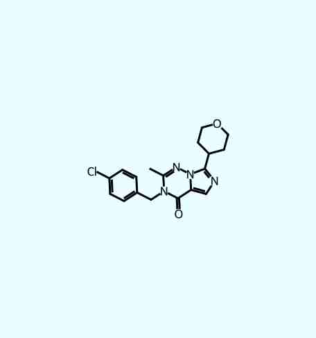 Cc1nn2c(C3CCOCC3)ncc2c(=O)n1Cc1ccc(Cl)cc1